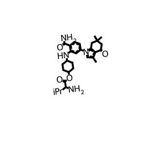 Cc1cn(-c2ccc(C(N)=O)c(NC3CCC(OC(=O)C(N)C(C)C)CC3)c2)c2c1C(=O)CC(C)(C)C2